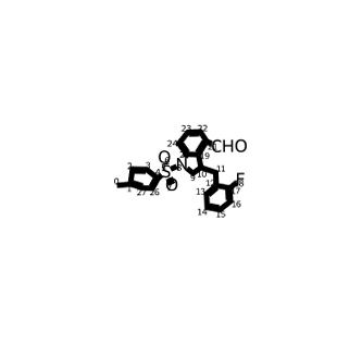 Cc1ccc(S(=O)(=O)N2CC(Cc3ccccc3F)c3c(C=O)cccc32)cc1